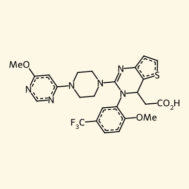 COc1cc(N2CCN(C3=Nc4ccsc4C(CC(=O)O)N3c3cc(C(F)(F)F)ccc3OC)CC2)ncn1